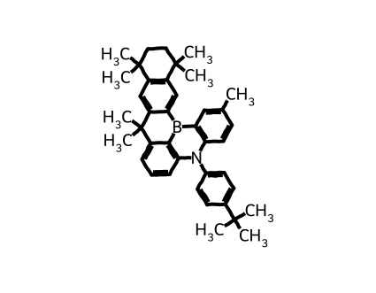 Cc1ccc2c(c1)B1c3cc4c(cc3C(C)(C)c3cccc(c31)N2c1ccc(C(C)(C)C)cc1)C(C)(C)CCC4(C)C